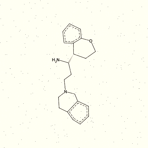 NC(CCN1CCc2ccccc2C1)[C@H]1CCOc2ccccc21